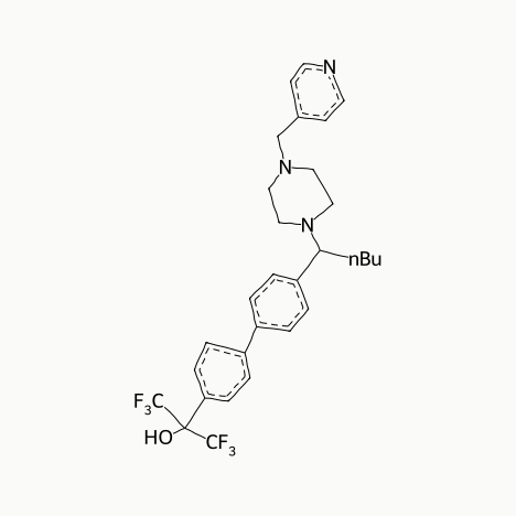 CCCCC(c1ccc(-c2ccc(C(O)(C(F)(F)F)C(F)(F)F)cc2)cc1)N1CCN(Cc2ccncc2)CC1